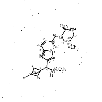 CC12CC(C(NC(=O)O)c3cn4nc(CC5C[C@@H](C(F)(F)F)CNC5=O)ccc4n3)(C1)C2